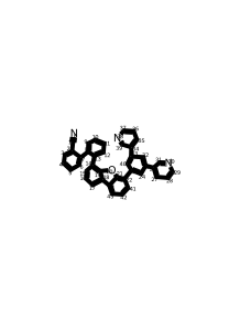 N#Cc1ccccc1-c1ccccc1-c1cccc2c1oc1c(-c3cc(-c4cccnc4)cc(-c4cccnc4)c3)cccc12